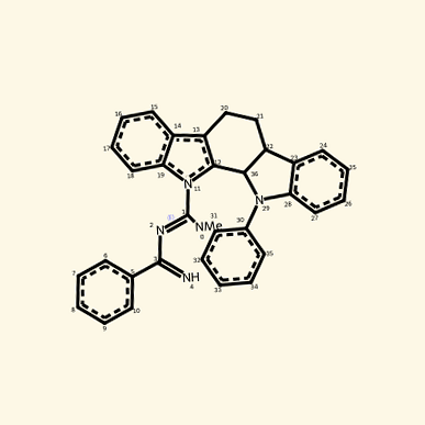 CN/C(=N\C(=N)c1ccccc1)n1c2c(c3ccccc31)CCC1c3ccccc3N(c3ccccc3)C21